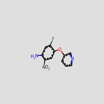 Nc1cc(F)c(Oc2cccnc2)cc1[N+](=O)[O-]